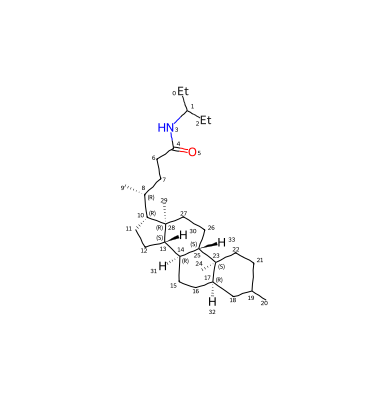 CCC(CC)NC(=O)CC[C@@H](C)[C@H]1CC[C@H]2[C@@H]3CC[C@@H]4CC(C)CC[C@]4(C)[C@H]3CC[C@]12C